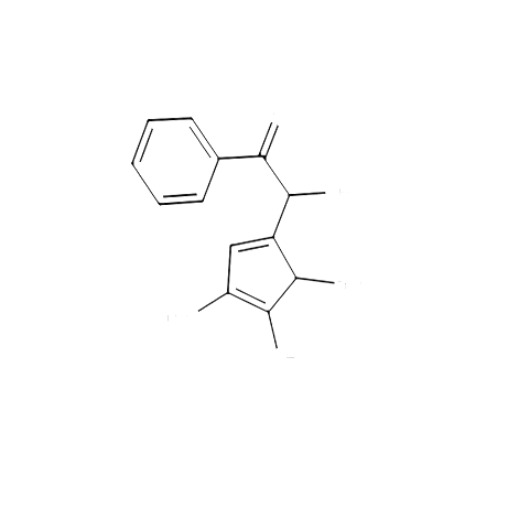 CC1=C(C)C(C(C)(C)C)C(C(C)C(=O)c2ccccc2)=C1